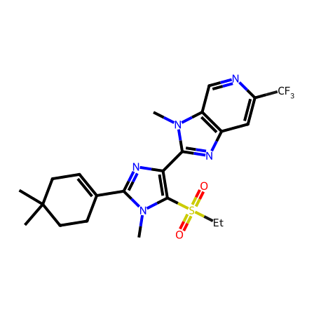 CCS(=O)(=O)c1c(-c2nc3cc(C(F)(F)F)ncc3n2C)nc(C2=CCC(C)(C)CC2)n1C